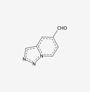 O=Cc1ccn2nncc2c1